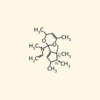 C=CN(C)C1(C2=CC(C)[C@H](C)[C@]2(C)I)OC(C)=CC(C)O1